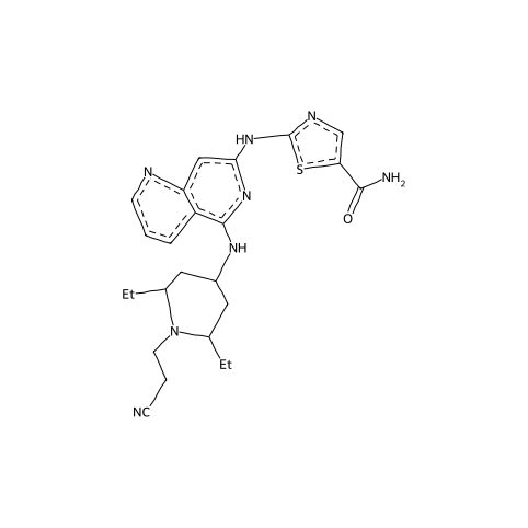 CCC1CC(Nc2nc(Nc3ncc(C(N)=O)s3)cc3ncccc23)CC(CC)N1CCC#N